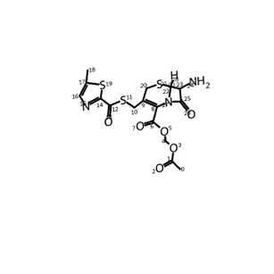 CC(=O)OCOC(=O)C1=C(CSC(=O)c2ncc(C)s2)CS[C@@H]2C(N)C(=O)N12